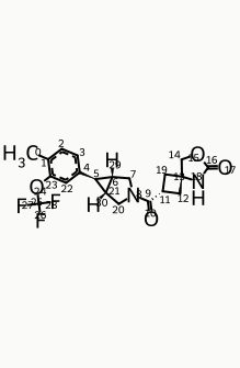 Cc1ccc([C@H]2[C@@H]3CN(C(=O)[C@H]4C[C@]5(COC(=O)N5)C4)C[C@@H]32)cc1OC(F)(F)F